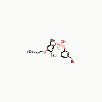 CCCCCCCCCCCCOc1cc(C(C)(C)C)c(OP(=O)(O)Oc2cccc(CBr)c2)cc1C(C)(C)C